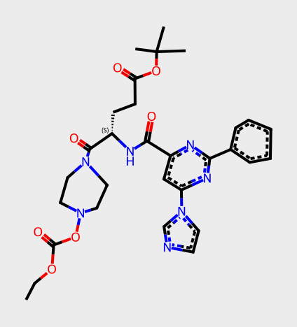 CCOC(=O)ON1CCN(C(=O)[C@H](CCC(=O)OC(C)(C)C)NC(=O)c2cc(-n3ccnc3)nc(-c3ccccc3)n2)CC1